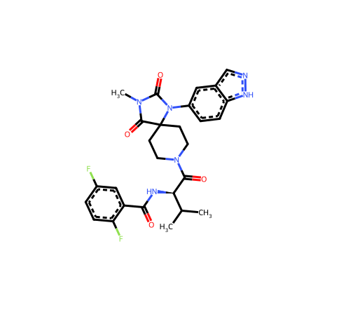 CC(C)[C@@H](NC(=O)c1cc(F)ccc1F)C(=O)N1CCC2(CC1)C(=O)N(C)C(=O)N2c1ccc2[nH]ncc2c1